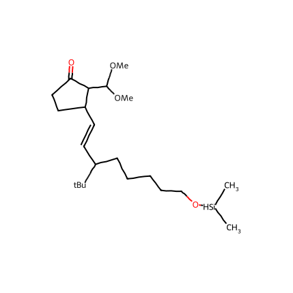 COC(OC)C1C(=O)CCC1C=CC(CCCCCO[SiH](C)C)C(C)(C)C